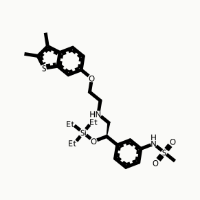 CC[Si](CC)(CC)O[C@@H](CNCCOc1ccc2c(C)c(C)sc2c1)c1cccc(NS(C)(=O)=O)c1